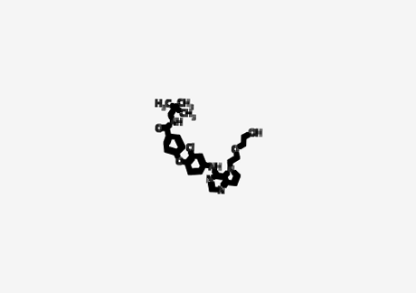 CC(C)(C)CNC(=O)c1ccc(Oc2ccc(Nc3ncnc4ccn(CCOCCO)c34)cc2Cl)cc1